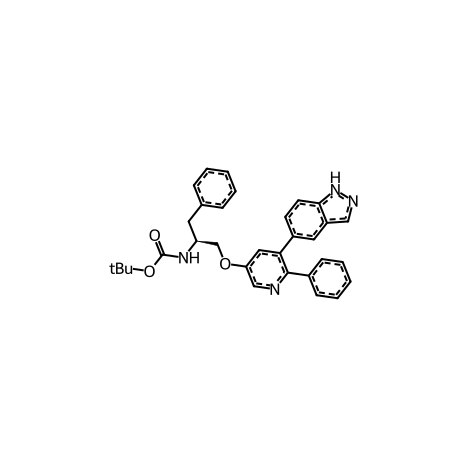 CC(C)(C)OC(=O)N[C@H](COc1cnc(-c2ccccc2)c(-c2ccc3[nH]ncc3c2)c1)Cc1ccccc1